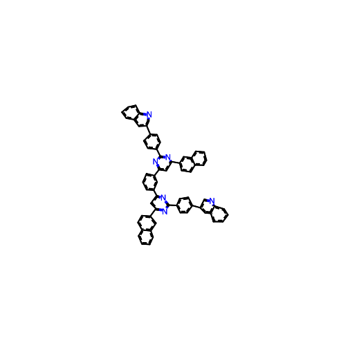 c1cc(-c2cc(-c3ccc4ccccc4c3)nc(-c3ccc(-c4cnc5ccccc5c4)cc3)n2)cc(-c2cc(-c3ccc4ccccc4c3)nc(-c3ccc(-c4cnc5ccccc5c4)cc3)n2)c1